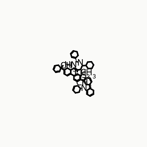 CC1=C(C2CC(C3(C)C=CC=CC3)=CC=C2c2ccc3c4c(sc3c2)C=CC2C3CC=CC=C3N(C3CCC=CC3C)C42)N[C@@H](C2=CC=CCC2)N=C(C2CCCCC2)C1C